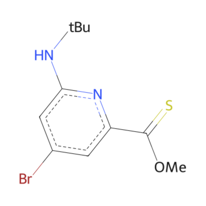 COC(=S)c1cc(Br)cc(NC(C)(C)C)n1